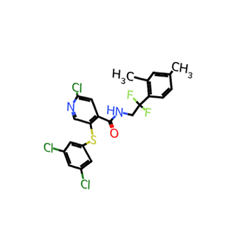 Cc1ccc(C(F)(F)CNC(=O)c2cc(Cl)ncc2Sc2cc(Cl)cc(Cl)c2)c(C)c1